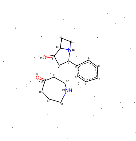 O=C1CC(c2ccccc2)N2CCC12.O=C1CCCNCC1